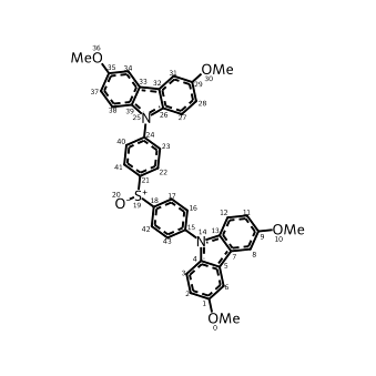 COc1ccc2c(c1)c1cc(OC)ccc1n2-c1ccc([S+]([O-])c2ccc(-n3c4ccc(OC)cc4c4cc(OC)ccc43)cc2)cc1